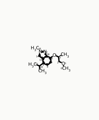 COC[C@H](C)Oc1ccc(C(C)C)c2cn(C)nc12